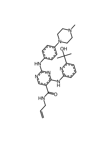 C=CCNC(=O)c1cnc(Nc2ccc(N3CCN(C)CC3)cc2)nc1Nc1cccc(C(C)(C)O)n1